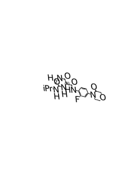 CC(C)NC(=O)N[C@H](C(N)=O)C(=O)Nc1ccc(N2CCOCC2=O)cc1F